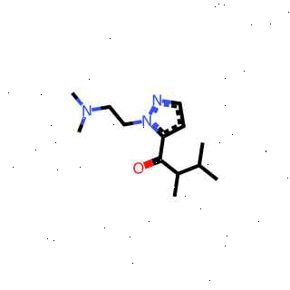 CC(C)C(C)C(=O)c1ccnn1CCN(C)C